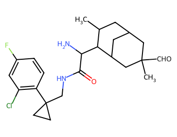 CC1CC2CC(CC(C)(C=O)C2)C1C(N)C(=O)NCC1(c2ccc(F)cc2Cl)CC1